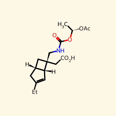 CCC1=C[C@@H]2[C@H](C1)C[C@]2(CNC(=O)O[C@H](C)OC(C)=O)CC(=O)O